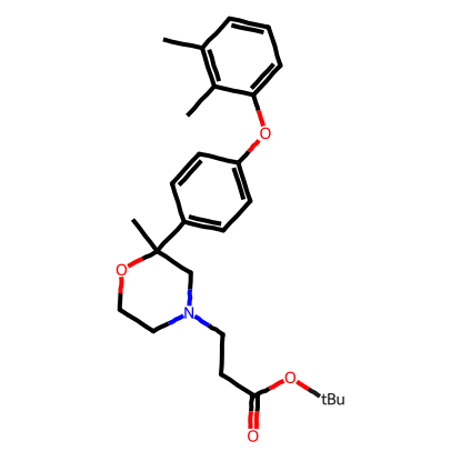 Cc1cccc(Oc2ccc(C3(C)CN(CCC(=O)OC(C)(C)C)CCO3)cc2)c1C